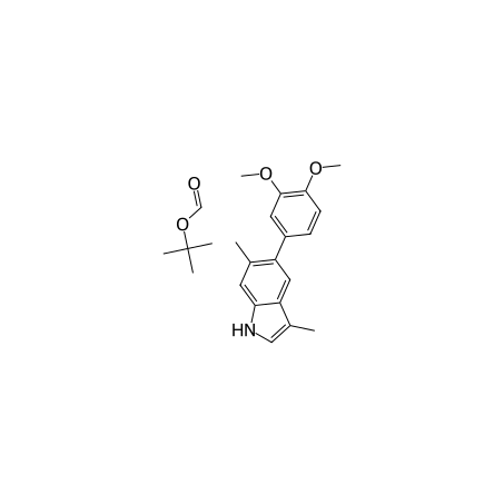 CC(C)(C)OC=O.COc1ccc(-c2cc3c(C)c[nH]c3cc2C)cc1OC